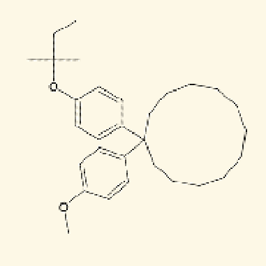 CCC(C)(C)Oc1ccc(C2(c3ccc(OC)cc3)CCCCCCCCCCC2)cc1